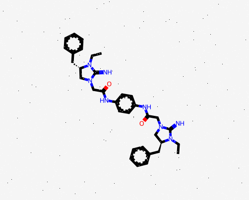 CCN1C(=N)N(CC(=O)Nc2ccc(NC(=O)CN3C[C@H](Cc4ccccc4)N(CC)C3=N)cc2)C[C@@H]1Cc1ccccc1